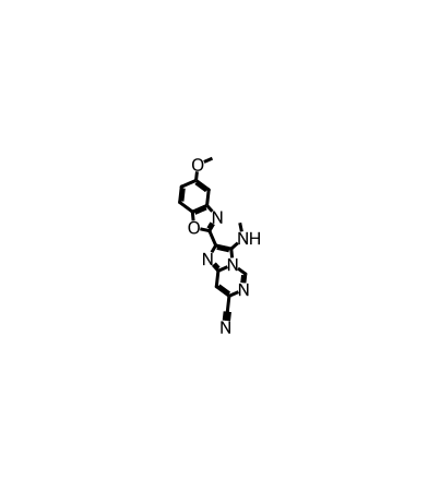 CNc1c(-c2nc3cc(OC)ccc3o2)nc2cc(C#N)ncn12